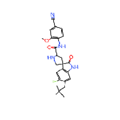 COc1cc(C#N)ccc1NC(=O)C1CC2(CN1)C(=O)Nc1cc(CC(C)(C)C)c(F)cc12